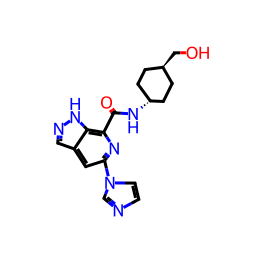 O=C(N[C@H]1CC[C@H](CO)CC1)c1nc(-n2ccnc2)cc2cn[nH]c12